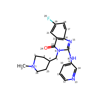 CN1CCC(Cn2c(Nc3cccnc3)nc3ccc(F)cc3c2=O)CC1